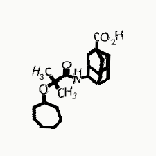 CC(C)(OC1CCCCCC1)C(=O)NC1C2CC3CC1CC(C(=O)O)(C3)C2